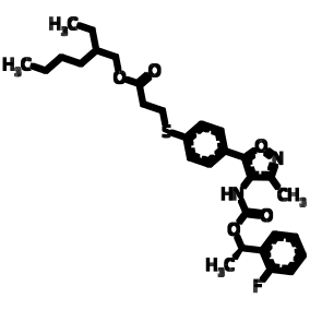 CCCCC(CC)COC(=O)CCSc1ccc(-c2onc(C)c2NC(=O)O[C@H](C)c2ccccc2F)cc1